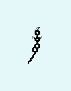 CCCCCCCC1CCC2CC(c3cc(F)c(-c4ccc(OC)cc4)c(F)c3)CCC2C1